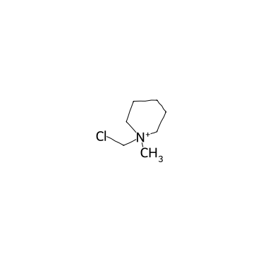 C[N+]1(CCl)CCCCC1